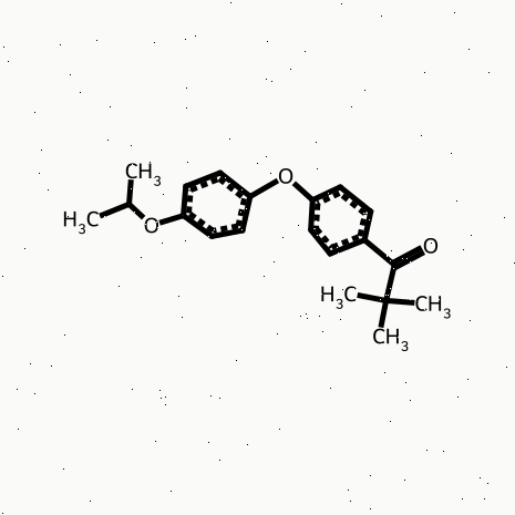 CC(C)Oc1ccc(Oc2ccc(C(=O)C(C)(C)C)cc2)cc1